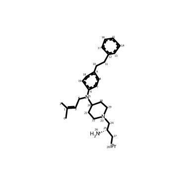 CC(C)=CCN(c1ccc(CCc2ccccc2)cc1)C1CCN(C[C@@H](N)CC(C)C)CC1